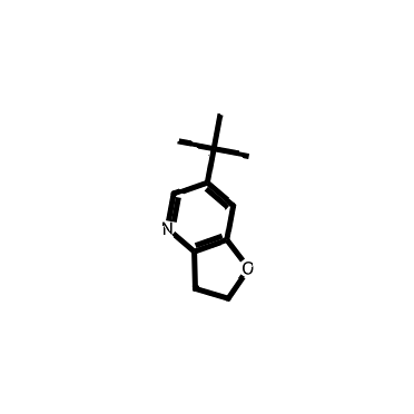 CC(C)(C)c1cnc2c(c1)OCC2